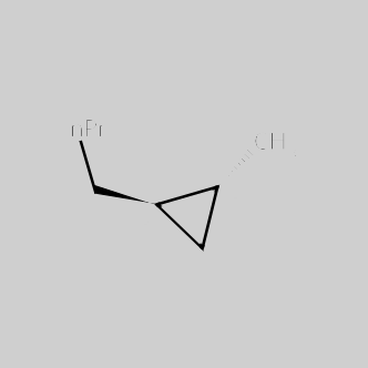 CCCC[C@@H]1C[C@H]1C